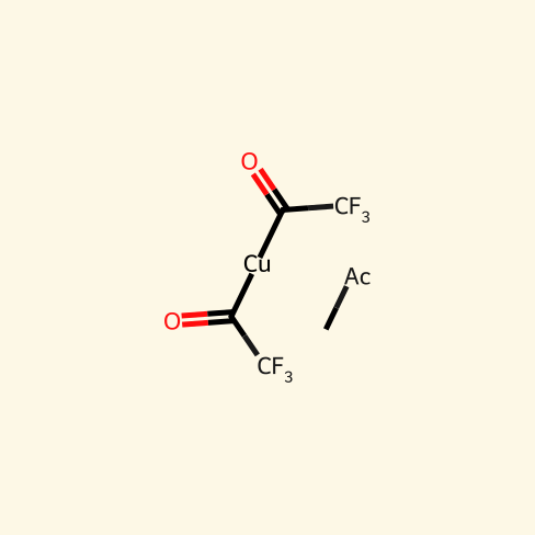 CC(C)=O.O=[C]([Cu][C](=O)C(F)(F)F)C(F)(F)F